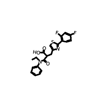 CCN(C(=O)C(Cc1csc(-c2ccc(F)cc2F)n1)C(=O)O)c1ccccc1